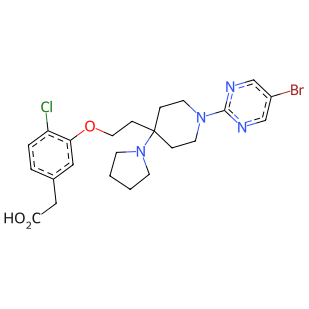 O=C(O)Cc1ccc(Cl)c(OCCC2(N3CCCC3)CCN(c3ncc(Br)cn3)CC2)c1